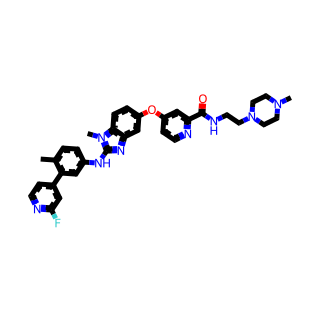 Cc1ccc(Nc2nc3cc(Oc4ccnc(C(=O)NCCN5CCN(C)CC5)c4)ccc3n2C)cc1-c1ccnc(F)c1